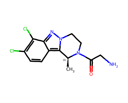 C[C@H]1c2c3ccc(Cl)c(Cl)c3nn2CCN1C(=O)CN